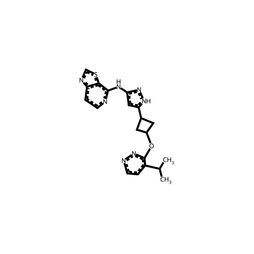 CC(C)c1ccnnc1OC1CC(c2cc(Nc3nccc4ncsc34)n[nH]2)C1